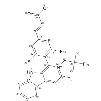 Cc1cc2c([nH]c3ccccc32)c(-c2c(F)cc(/C=C/C(=O)[O-])cc2F)[n+]1CC(C)(C)F